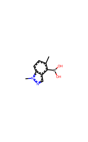 Cc1ccc2c(cnn2C)c1B(O)O